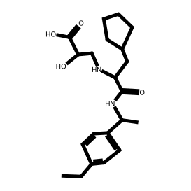 CCc1ccc(C(C)NC(=O)C(CC2CCCC2)NCC(O)C(=O)O)cc1